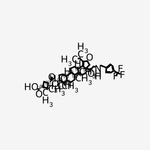 CC(C)C1=C2[C@H]3CC[C@@H]4[C@@]5(C)CC[C@H](OC(=O)[C@H]6C[C@@H](C(=O)O)C6(C)C)C(C)(C)[C@@H]5CC[C@@]4(C)[C@]3(C)CC[C@@]2([C@@H](O)CNCc2ccc(C(F)(F)F)cc2)CC1=O